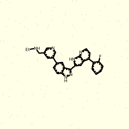 CCNCc1cncc(-c2ccc3[nH]nc(-c4cc5c(-c6ccccc6F)ccnc5[nH]4)c3c2)c1